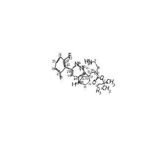 CC(C)(C)OC(=O)N1CCNC[C@H]1[C@]12CC[C@H](C1)c1cc(-c3c(F)cccc3F)nnc12